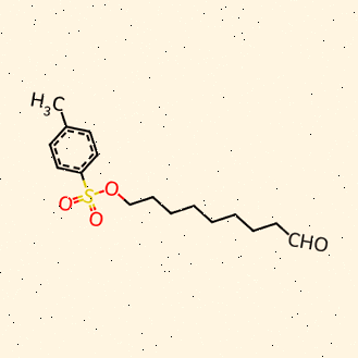 Cc1ccc(S(=O)(=O)OCCCCCCCCC=O)cc1